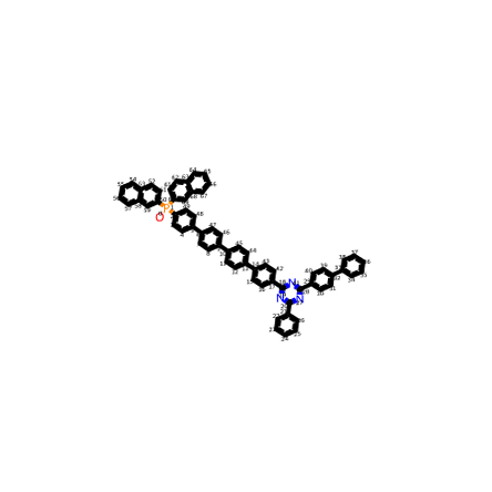 O=P(c1ccc(-c2ccc(-c3ccc(-c4ccc(-c5nc(-c6ccccc6)nc(-c6ccc(-c7ccccc7)cc6)n5)cc4)cc3)cc2)cc1)(c1ccc2ccccc2c1)c1ccc2ccccc2c1